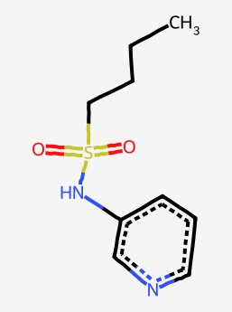 CCCCS(=O)(=O)Nc1cccnc1